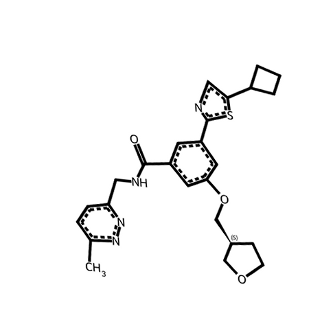 Cc1ccc(CNC(=O)c2cc(OC[C@H]3CCOC3)cc(-c3ncc(C4CCC4)s3)c2)nn1